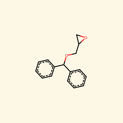 c1ccc(C(OCC2CO2)c2ccccc2)cc1